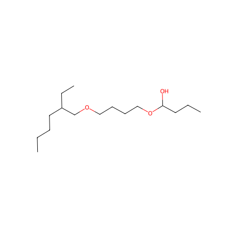 CCCCC(CC)COCCCCOC(O)CCC